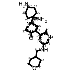 Cc1ncc(NCC2CCOCC2)nc1-c1cc(C2(N)CCC(N)CC2)ncc1Cl